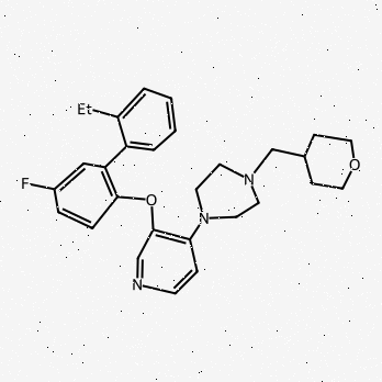 CCc1ccccc1-c1cc(F)ccc1Oc1cnccc1N1CCN(CC2CCOCC2)CC1